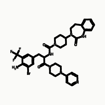 Nc1c(Br)cc(CC(NC(=O)N2CCC(N3CCc4ccccc4NC3=O)CC2)C(=O)N2CCN(c3ccncc3)CC2)cc1C(F)(F)F